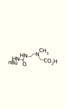 CCCCNC(=O)NCCN(C)CC(=O)O